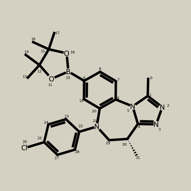 Cc1nnc2n1-c1ccc(B3OC(C)(C)C(C)(C)O3)cc1N(c1ccc(Cl)cc1)C[C@H]2C